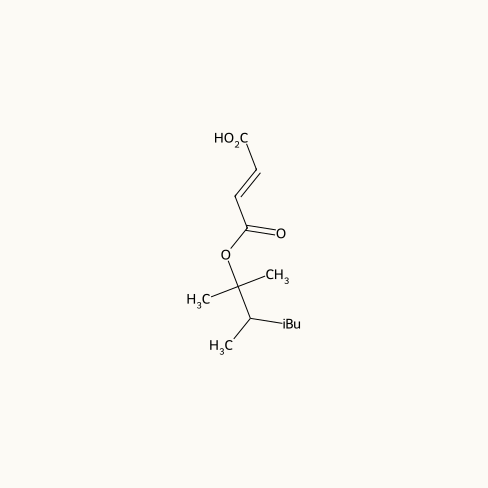 CCC(C)C(C)C(C)(C)OC(=O)/C=C/C(=O)O